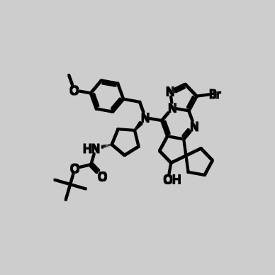 COc1ccc(CN(c2c3c(nc4c(Br)cnn24)C2(CCCC2)C(O)C3)[C@H]2CC[C@H](NC(=O)OC(C)(C)C)C2)cc1